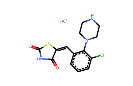 Cl.O=C1NC(=O)/C(=C\c2cccc(Cl)c2N2CCNCC2)S1